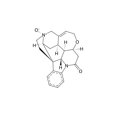 O=C1C[C@@H]2OCC=C3C[N@+]4([O-])CC[C@]56c7ccccc7N1[C@H]5[C@H]2[C@H]3C[C@@H]64